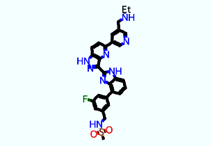 CCNCc1cncc(-c2ccc3[nH]nc(-c4nc5c(-c6cc(F)cc(CNS(C)(=O)=O)c6)cccc5[nH]4)c3n2)c1